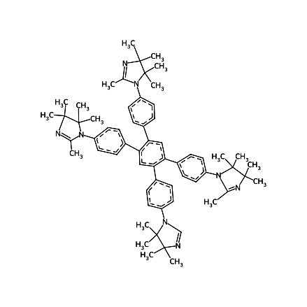 CC1=NC(C)(C)C(C)(C)N1c1ccc(-c2cc(-c3ccc(N4C(C)=NC(C)(C)C4(C)C)cc3)c(-c3ccc(N4C(C)=NC(C)(C)C4(C)C)cc3)cc2-c2ccc(N3C=NC(C)(C)C3(C)C)cc2)cc1